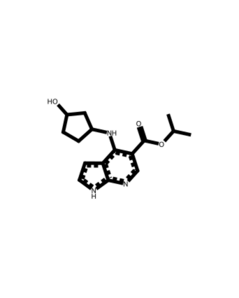 CC(C)OC(=O)c1cnc2[nH]ccc2c1NC1CCC(O)C1